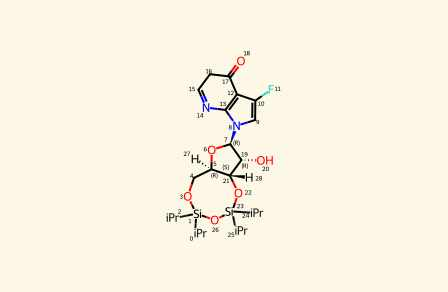 CC(C)[Si]1(C(C)C)OC[C@H]2O[C@@H](n3cc(F)c4c3N=CCC4=O)[C@H](O)[C@@H]2O[Si](C(C)C)(C(C)C)O1